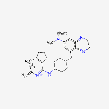 C=C(C)/N=C(/NC1CCC(Cc2cc(N(C)CCCCC)cc3c2=NCCN=3)CC1)C1=C(C)CCC1